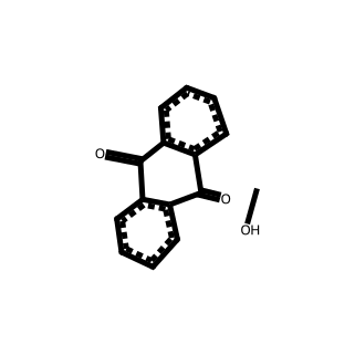 CO.O=C1c2ccccc2C(=O)c2ccccc21